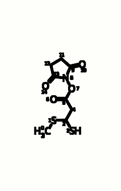 CSC(S)CC(=O)ON1C(=O)CCC1=O